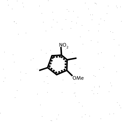 COc1cc(C)cc([N+](=O)[O-])c1C